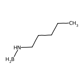 BNCCCCC